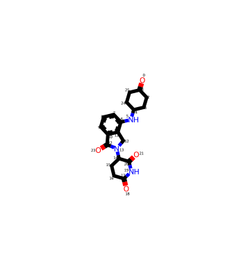 O=C1CCC(Nc2cccc3c2CN(C2CCC(=O)NC2=O)C3=O)CC1